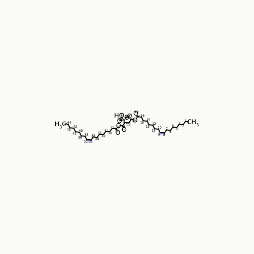 CCCCCCCC/C=C\CCCCCCCC(=O)OC(=O)CC(C(=O)OC(=O)CCCCCCC/C=C\CCCCCCCC)S(=O)(=O)O